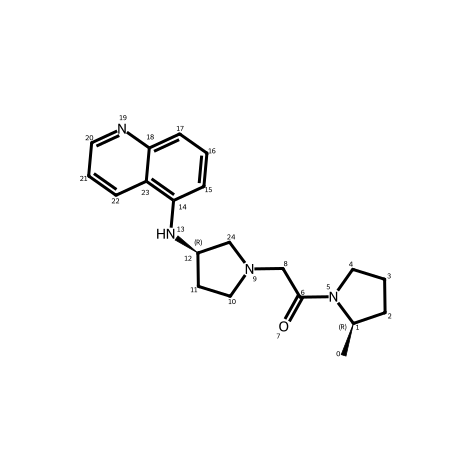 C[C@@H]1CCCN1C(=O)CN1CC[C@@H](Nc2cccc3ncccc23)C1